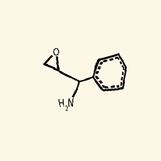 NC(c1ccccc1)C1CO1